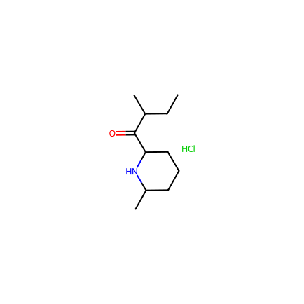 CCC(C)C(=O)C1CCCC(C)N1.Cl